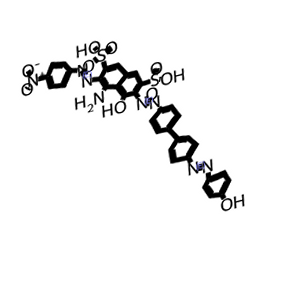 Nc1c(/N=N/c2ccc([N+](=O)[O-])cc2)c(S(=O)(=O)O)cc2cc(S(=O)(=O)O)c(/N=N/c3ccc(-c4ccc(/N=N/c5ccc(O)cc5)cc4)cc3)c(O)c12